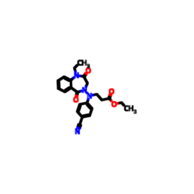 CCOC(=O)CCN(c1ccc(C#N)cc1)N1CC(=O)N(CC)c2ccccc2C1=O